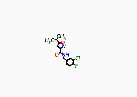 CC(C)c1cc(C(=O)NCc2ccc(F)c(Cl)c2)no1